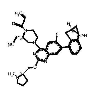 C=CC(=O)N1CCN(c2nc(OC[C@@H]3CCCN3C)nc3cc(-c4cccc5c4C[C@H]4C[C@@H]54)c(F)cc23)C[C@@H]1CC#N